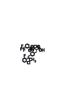 C/C(=C\c1ccc2c(c1)N(S(=O)(=O)c1cccc(C(F)(F)F)c1)C(C)C(C(=O)O)C2)c1c(F)cccc1Cl